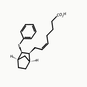 O=C(O)CCC/C=C\C[C@H]1[C@H]2CC[C@H](C2)[C@H]1Sc1ccccc1